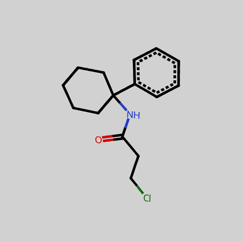 O=C(CCCl)NC1(c2ccccc2)CCCCC1